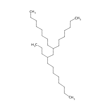 CCCCCCCCC(CCC)CC(CCCCCCC)CCCCCCCC